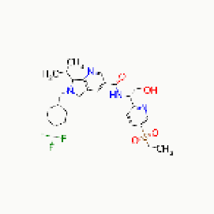 CCS(=O)(=O)c1ccc([C@@H](CO)NC(=O)c2cnc3c(c2)CN(C[C@H]2CC[C@@H](C(F)(F)F)CC2)C3C(C)C)nc1